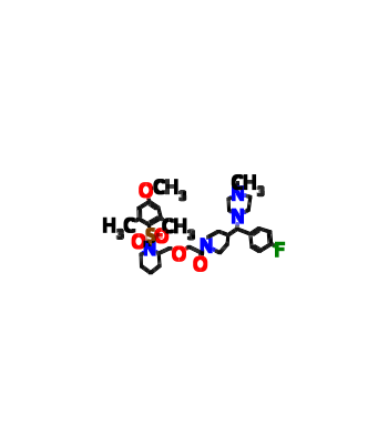 COc1cc(C)c(S(=O)(=O)N2CCCCC2COCC(=O)N2CCC(C(c3ccc(F)cc3)N3CCN(C)CC3)CC2)c(C)c1